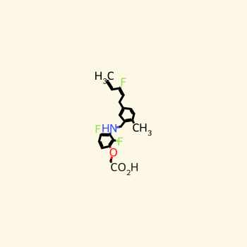 C/C=C\C(F)=C/Cc1ccc(C)c(CNc2c(F)ccc(OCC(=O)O)c2F)c1